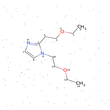 CCOCCc1nccn1CCOCC